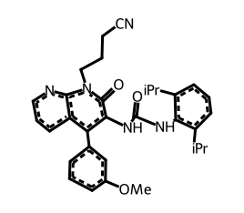 COc1cccc(-c2c(NC(=O)Nc3c(C(C)C)cccc3C(C)C)c(=O)n(CCCC#N)c3ncccc23)c1